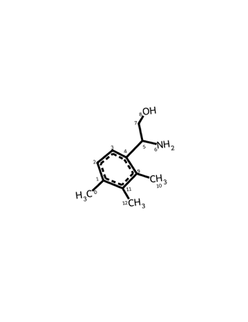 Cc1ccc(C(N)CO)c(C)c1C